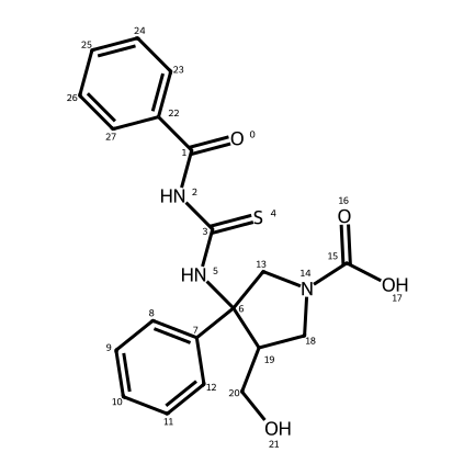 O=C(NC(=S)NC1(c2ccccc2)CN(C(=O)O)CC1CO)c1ccccc1